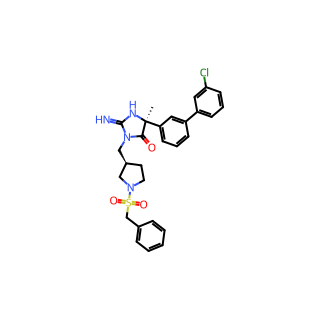 C[C@@]1(c2cccc(-c3cccc(Cl)c3)c2)NC(=N)N(C[C@H]2CCN(S(=O)(=O)Cc3ccccc3)C2)C1=O